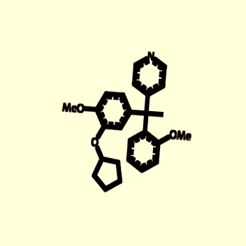 COc1ccc(C(C)(c2ccncc2)c2ccccc2OC)cc1OC1CCCC1